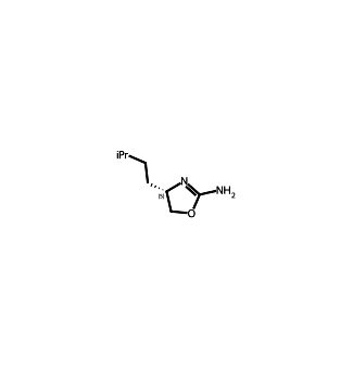 CC(C)CC[C@H]1COC(N)=N1